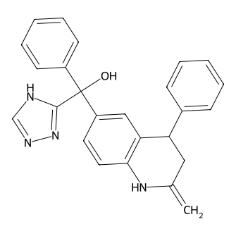 C=C1CC(c2ccccc2)c2cc(C(O)(c3ccccc3)c3nnc[nH]3)ccc2N1